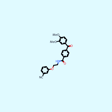 COc1ccc(C(=O)c2ccc(C(=O)NCCOc3cccc(C#N)c3)cc2)cc1OC